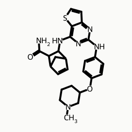 CN1CCCC(Oc2ccc(Nc3nc(NC4C5C=CC(C5)C4C(N)=O)c4sccc4n3)cc2)C1